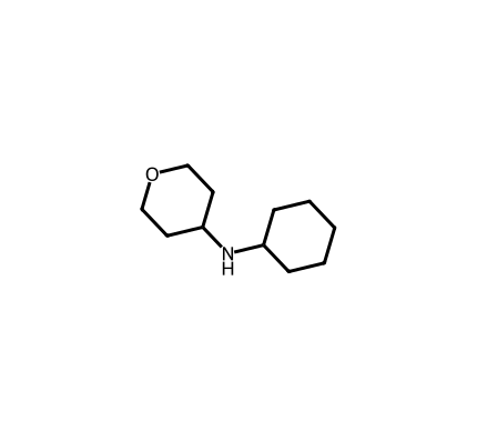 C1CCC(NC2CCOCC2)CC1